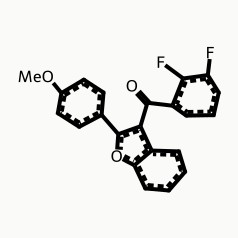 COc1ccc(-c2oc3ccccc3c2C(=O)c2cccc(F)c2F)cc1